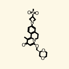 Cc1c2n(c(OC[C@@H]3COCCO3)cc1=O)CCc1cc(N3CC(S(C)(=O)=O)C3)ccc1-2